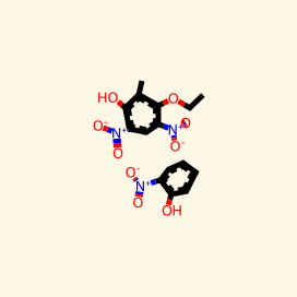 CCOc1c([N+](=O)[O-])cc([N+](=O)[O-])c(O)c1C.O=[N+]([O-])c1ccccc1O